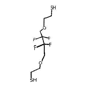 FC(F)(COCCS)C(F)(F)COCCS